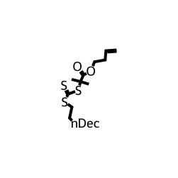 C=CCCOC(=O)C(C)(C)SC(=S)SCCCCCCCCCCCC